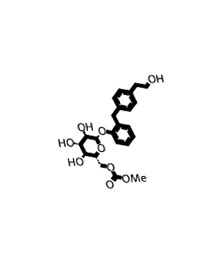 COC(=O)OC[C@H]1O[C@@H](Oc2ccccc2Cc2ccc(CCO)cc2)[C@H](O)[C@@H](O)[C@@H]1O